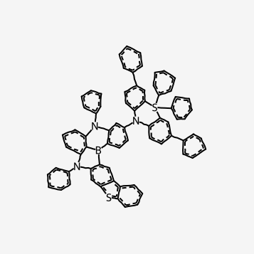 c1ccc(-c2ccc3c(c2)S(c2ccccc2)(c2ccccc2)c2cc(-c4ccccc4)ccc2N3c2ccc3c(c2)N(c2ccccc2)c2cccc4c2B3c2cc3c(cc2N4c2ccccc2)sc2ccccc23)cc1